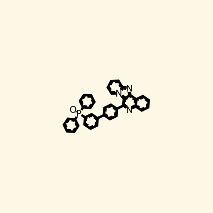 O=P(c1ccccc1)(c1ccccc1)c1cccc(-c2ccc(-c3nc4ccccc4c4nc5ccccn5c34)cc2)c1